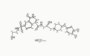 CC(=O)O.O=C(NC[C@@H](O)CN1CCC(Oc2ccc(Cl)c(Cl)c2)CC1)c1c[nH]c(=O)c2cc(S(=O)(=O)NCCO)ccc12